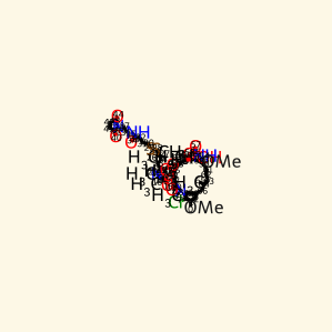 COc1cc2cc(c1Cl)N(C)C(=O)C[C@H](OC(=O)[C@H](C)N(C)C(=O)CCC(C)(C)SSCCCC(=O)NCCN1C(=O)C=CC1=O)[C@]1(C)O[C@H]1[C@H](C)[C@@H]1C[C@@](O)(NC(=O)O1)[C@H](OC)/C=C/C=C(\C)C2